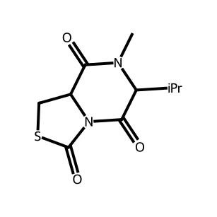 CC(C)C1C(=O)N2C(=O)SCC2C(=O)N1C